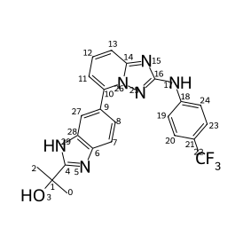 CC(C)(O)c1nc2ccc(-c3cccc4nc(Nc5ccc(C(F)(F)F)cc5)nn34)cc2[nH]1